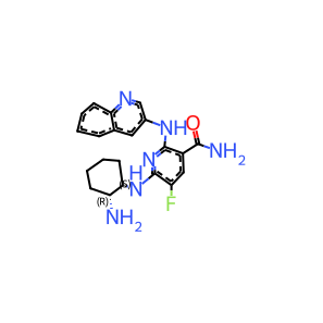 NC(=O)c1cc(F)c(N[C@H]2CCCC[C@H]2N)nc1Nc1cnc2ccccc2c1